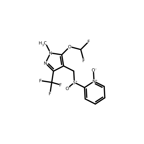 Cn1nc(C(F)(F)F)c(C[S+]([O-])c2cccc[n+]2[O-])c1OC(F)F